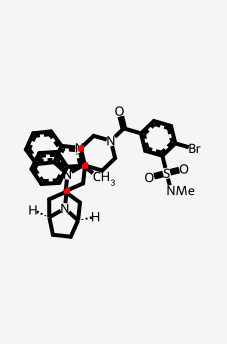 CNS(=O)(=O)c1cc(C(=O)N2CCC(CCN3[C@@H]4CC[C@H]3CC(n3c(C)nc5ccccc53)C4)(c3ccccc3)CC2)ccc1Br